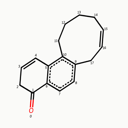 O=C1CC=Cc2c1ccc1c2CCCCC=CC1